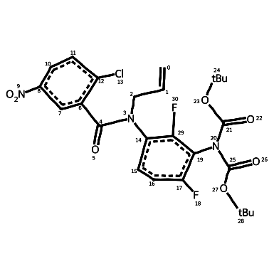 C=CCN(C(=O)c1cc([N+](=O)[O-])ccc1Cl)c1ccc(F)c(N(C(=O)OC(C)(C)C)C(=O)OC(C)(C)C)c1F